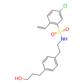 C=Cc1ccc(Cl)cc1S(=O)(=O)NCCc1ccc(CCCO)cc1